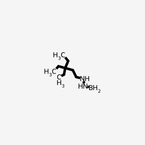 BNNCCC(CC)(CC)CC